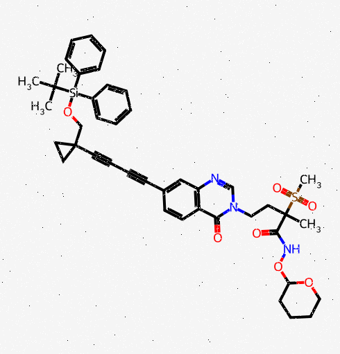 CC(C)(C)[Si](OCC1(C#CC#Cc2ccc3c(=O)n(CCC(C)(C(=O)NOC4CCCCO4)S(C)(=O)=O)cnc3c2)CC1)(c1ccccc1)c1ccccc1